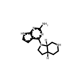 Nc1nc(N2CC[C@H]3CCNC[C@H]32)c2cc[nH]c2n1